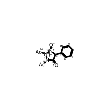 CC(=O)N1C(=O)C(c2ccccc2)[NH+]([O-])N1C(C)=O